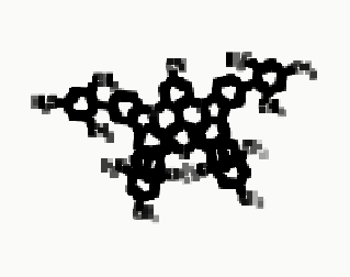 Cc1cc(C)c(-c2ccc3c(c2)c2cc(-c4c(C)cc(C)cc4C)ccc2n3-c2cc(C#N)cc(-n3c4ccc(-c5c(C)cc(C)cc5C)cc4c4cc(-c5c(C)cc(C)cc5C)ccc43)c2-c2cc(-c3ccccc3)nc(-c3ccccc3)c2)c(C)c1